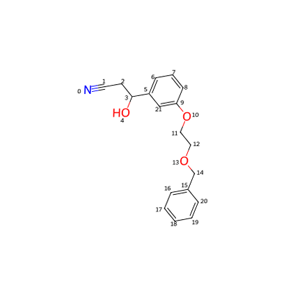 N#CCC(O)c1cccc(OCCOCc2ccccc2)c1